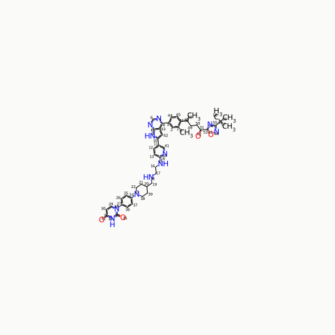 Cc1cc(-c2ncnc3[nH]c(-c4ccc(NCCNCC5CCN(c6ccc(-n7ccc(=O)[nH]c7=O)cc6)CC5)nc4)cc23)ccc1[C@@H](C)CCC(=O)c1nc(C(C)(C)C)no1